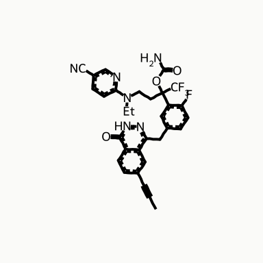 CC#Cc1ccc2c(=O)[nH]nc(Cc3ccc(F)c(C(CCN(CC)c4ccc(C#N)cn4)(OC(N)=O)C(F)(F)F)c3)c2c1